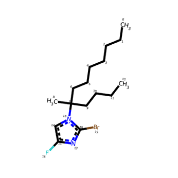 CCCCCCCC(C)(CCCC)n1cc(F)nc1Br